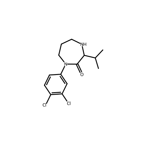 CC(C)C1NCCCN(c2ccc(Cl)c(Cl)c2)C1=O